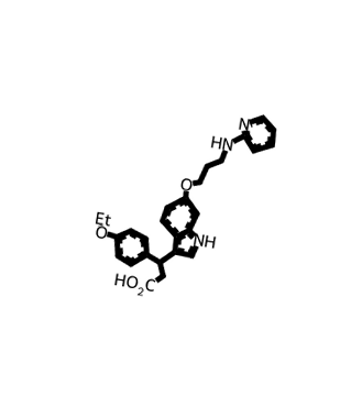 CCOc1ccc(C(CC(=O)O)c2c[nH]c3cc(OCCCNc4ccccn4)ccc23)cc1